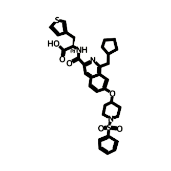 O=C(N[C@H](Cc1ccsc1)C(=O)O)c1cc2ccc(OC3CCN(S(=O)(=O)c4ccccc4)CC3)cc2c(CC2CCCC2)n1